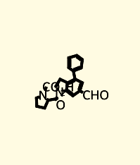 O=Cc1cc(-c2ccccc2)c2c(c1)N(C(=O)C1CCCN1C(=O)O)CC2